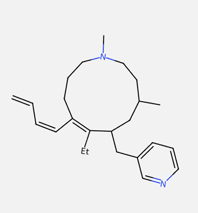 C=C/C=C\C1=C(/CC)C(Cc2cccnc2)CC(C)CCN(C)CCC1